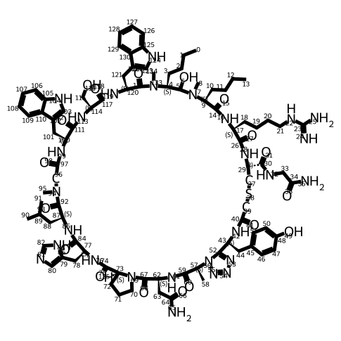 CCCC[C@H]1C(O)N(C)[C@@H](CCCC)C(=O)N[C@@H](CCCCNC(=N)N)C(=O)N[C@H](C(=O)NCC(N)=O)CSCC(=O)N[C@@H](Cc2ccc(O)cc2)c2nnnn2[C@@H](C)C(=O)N[C@@H](CC(N)=O)C(=O)N2CCC[C@H]2C(=O)N[C@@H](Cc2cnc[nH]2)C(=O)N[C@@H](CC(C)C)C(=O)N(C)CC(=O)N[C@@H](Cc2c[nH]c3ccccc23)C(=O)N[C@@H](CO)C(=O)N[C@@H](Cc2c[nH]c3ccccc23)C(=O)N1C